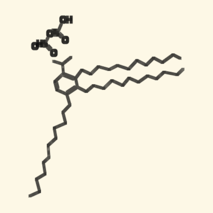 CCCCCCCCCCCCc1ccc(C(C)C)c(CCCCCCCCCCCC)c1CCCCCCCCCCCC.O=[SH](=O)[O][Ti](=[O])[OH]